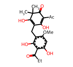 CCC(=O)c1c(O)cc(OC)c(CC2=C(O)C(C)(C)C(=O)C(C(C)=O)=C2O)c1O